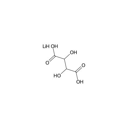 O=C(O)C(O)C(O)C(=O)O.[LiH]